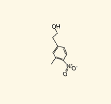 Cc1cc(CCO)ccc1[N+](=O)[O-]